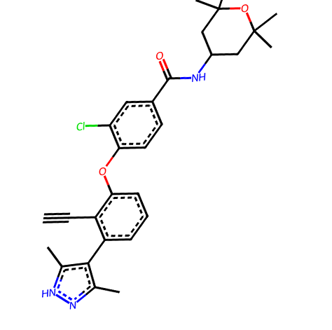 C#Cc1c(Oc2ccc(C(=O)NC3CC(C)(C)OC(C)(C)C3)cc2Cl)cccc1-c1c(C)n[nH]c1C